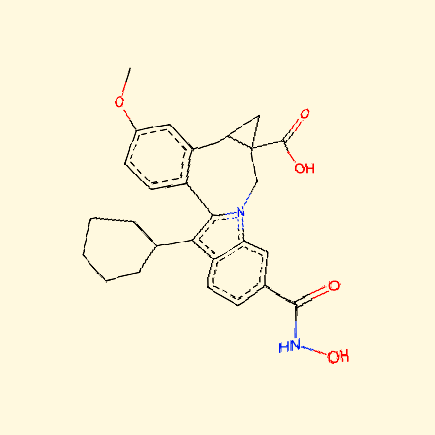 COc1ccc2c(c1)C1CC1(C(=O)O)Cn1c-2c(C2CCCCC2)c2ccc(C(=O)NO)cc21